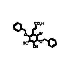 N#Cc1c(C#N)c(OCc2ccccc2)c(/C=C/C(=O)O)c(Br)c1OCc1ccccc1